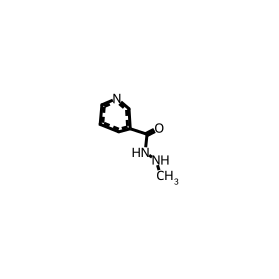 CNNC(=O)c1cccnc1